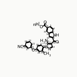 CCCOC(=O)c1ccc2[nH]c(C(=O)c3cnn(-c4ccc(Oc5cccc(C#N)c5)cc4C)c3N)cc2c1